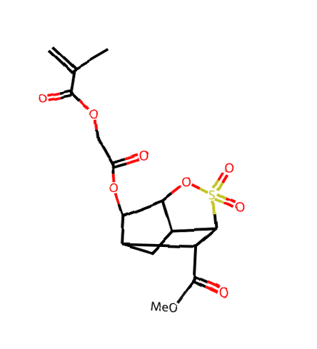 C=C(C)C(=O)OCC(=O)OC1C2CC3C1OS(=O)(=O)C3C2C(=O)OC